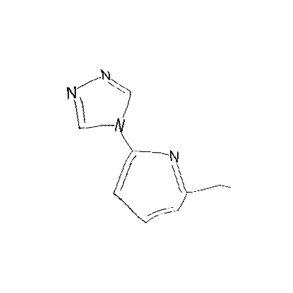 Cc1cccc(-n2cnnc2)n1